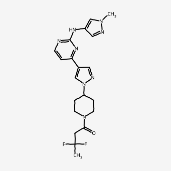 Cn1cc(Nc2nccc(-c3cnn(C4CCN(C(=O)CC(C)(F)F)CC4)c3)n2)cn1